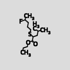 CCCOC(=O)C(CC(C)C)SCCCC(C)F